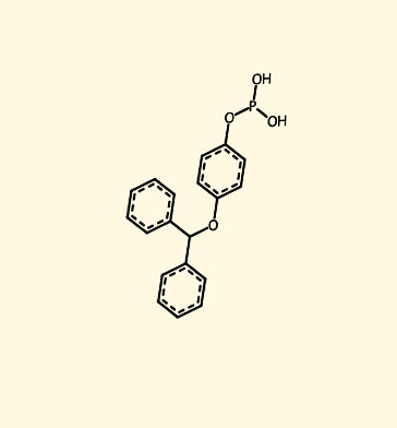 OP(O)Oc1ccc(OC(c2ccccc2)c2ccccc2)cc1